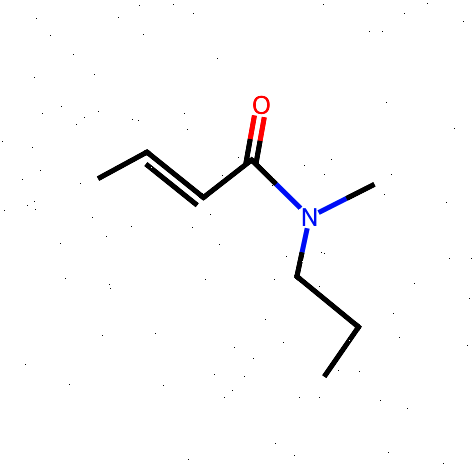 CC=CC(=O)N(C)CCC